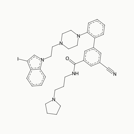 N#Cc1cc(C(=O)NCCCN2CCCC2)cc(-c2ccccc2N2CCN(CCn3cc(I)c4ccccc43)CC2)c1